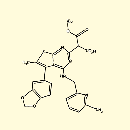 CCC(C)OC(=O)C(C(=O)O)c1nc(NCc2cccc(C)n2)c2c(-c3ccc4c(c3)OCO4)c(C)sc2n1